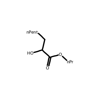 CCCCCCC(O)C(=O)OCCC